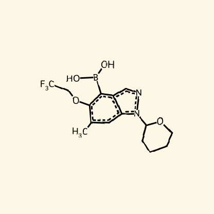 Cc1cc2c(cnn2C2CCCCO2)c(B(O)O)c1OCC(F)(F)F